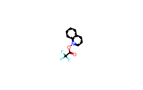 O=C(O[n+]1cccc2ccccc21)C(F)(F)F